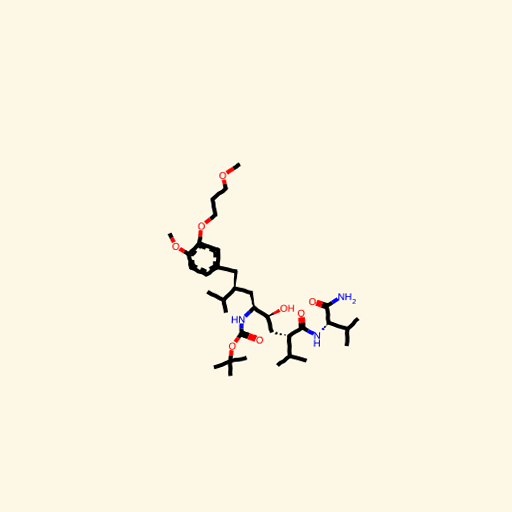 COCCCOc1cc(C[C@@H](C[C@H](NC(=O)OC(C)(C)C)[C@@H](O)C[C@H](C(=O)N[C@H](C(N)=O)C(C)C)C(C)C)C(C)C)ccc1OC